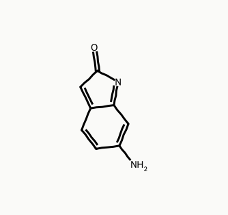 Nc1ccc2c(c1)=NC(=O)C=2